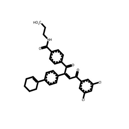 O=C(O)CCNC(=O)c1ccc(C(=O)/C(=C\C(=O)c2cc(Cl)cc(Cl)c2)c2ccc(C3=CCCCC3)cc2)cc1